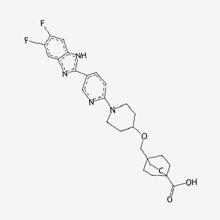 O=C(O)C12CCC(COC3CCN(c4ccc(-c5nc6cc(F)c(F)cc6[nH]5)cn4)CC3)(CC1)CC2